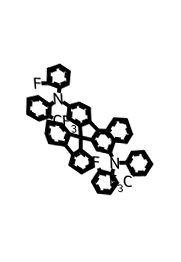 Fc1ccccc1N(c1ccc2c(c1)C1(c3ccccc3-c3ccccc31)c1cc(N(c3ccccc3F)c3ccccc3C(F)(F)F)c3ccccc3c1-2)c1ccccc1C(F)(F)F